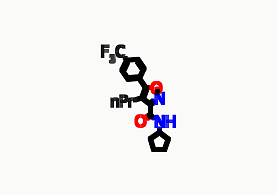 CCCc1c(C(=O)NC2CCCC2)noc1-c1ccc(C(F)(F)F)cc1